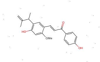 C=C(C)C(C)c1cc(C=CC(=O)c2ccc(O)cc2)c(OC)cc1O